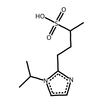 CC(C)n1ccnc1CCC(C)S(=O)(=O)O